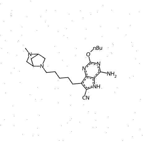 CCCCOc1nc(N)c2[nH]c(C#N)c(CCCCCN3CC4CC3CN4C)c2n1